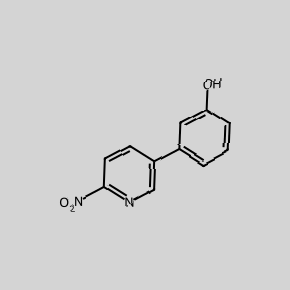 O=[N+]([O-])c1ccc(-c2cccc(O)c2)cn1